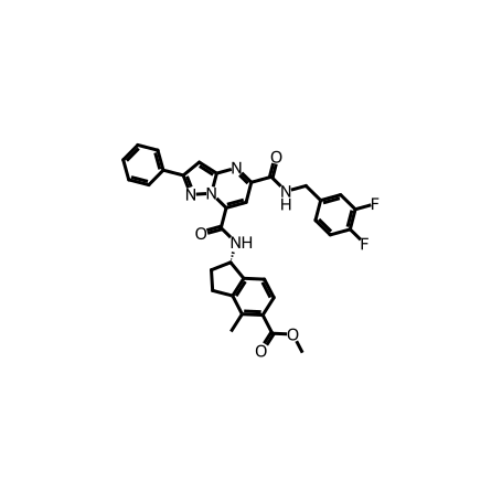 COC(=O)c1ccc2c(c1C)CC[C@@H]2NC(=O)c1cc(C(=O)NCc2ccc(F)c(F)c2)nc2cc(-c3ccccc3)nn12